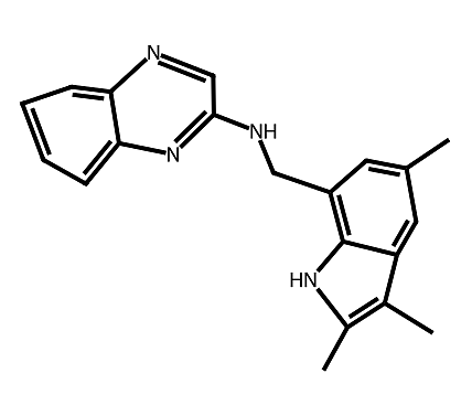 Cc1cc(CNc2cnc3ccccc3n2)c2[nH]c(C)c(C)c2c1